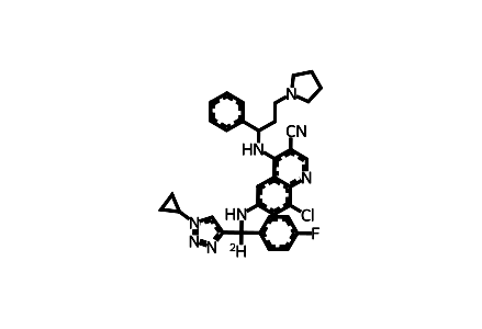 [2H]C(Nc1cc(Cl)c2ncc(C#N)c(NC(CCN3CCCC3)c3ccccc3)c2c1)(c1ccc(F)cc1)c1cn(C2CC2)nn1